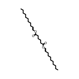 CCCCCCCCC/C=C/OC(=O)CCCCC(=O)O/C=C/CCCCCCCCC